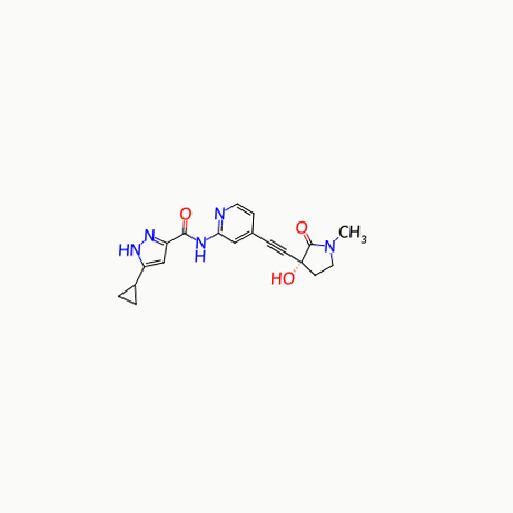 CN1CC[C@@](O)(C#Cc2ccnc(NC(=O)c3cc(C4CC4)[nH]n3)c2)C1=O